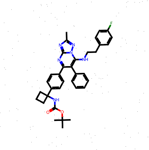 Cc1nc2nc(-c3ccc(C4(NC(=O)OC(C)(C)C)CCC4)cc3)c(-c3ccccc3)c(NCCc3ccc(F)cc3)n2n1